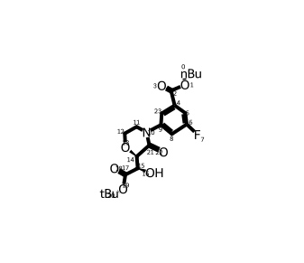 CCCCOC(=O)c1cc(F)cc(N2CCO[C@H]([C@@H](O)C(=O)OC(C)(C)C)C2=O)c1